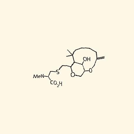 C=C1CCCCC(C)(C)C2C(CSCC(NC)C(=O)O)OCC(OC1)C2O